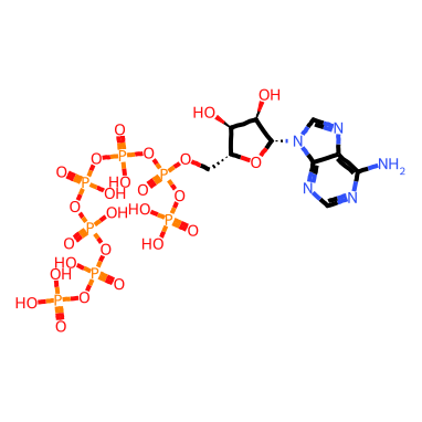 Nc1ncnc2c1ncn2[C@@H]1O[C@H](COP(=O)(OP(=O)(O)O)OP(=O)(O)OP(=O)(O)OP(=O)(O)OP(=O)(O)OP(=O)(O)O)[C@@H](O)[C@H]1O